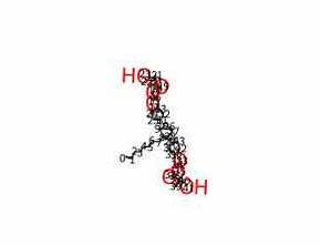 C=CCCCCCCc1cc(-c2ccc(OCOC(=O)C(=C)CO)cc2)ccc1-c1ccc(OCOC(=O)C(=C)CO)cc1